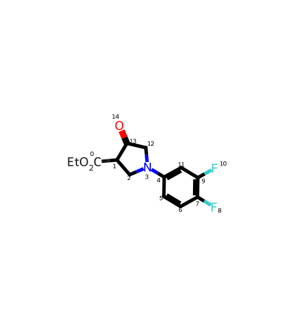 CCOC(=O)C1CN(c2ccc(F)c(F)c2)CC1=O